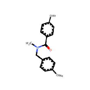 COc1ccc(CN(C)C(=O)c2ccc(OC)cc2)cc1